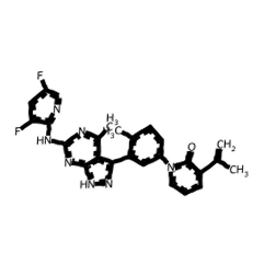 C=C(C)c1cccn(-c2ccc(C)c(-c3n[nH]c4nc(Nc5ncc(F)cc5F)nc(C)c34)c2)c1=O